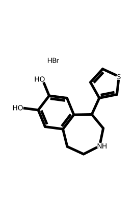 Br.Oc1cc2c(cc1O)C(c1ccsc1)CNCC2